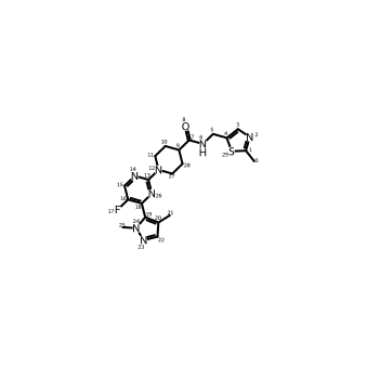 Cc1ncc(CNC(=O)C2CCN(c3ncc(F)c(-c4c(C)cnn4C)n3)CC2)s1